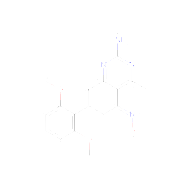 COc1cccc(OC)c1C1C/C(=N\O)c2c(C)nc(N)nc2C1